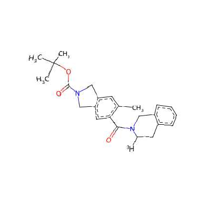 [3H]C1Cc2ccccc2CN1C(=O)c1cc2c(cc1C)CN(C(=O)OC(C)(C)C)C2